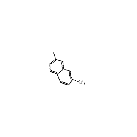 Cc1ccc2ccc(F)cc2c1